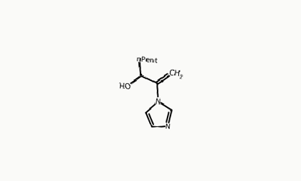 C=C(C(O)CCCCC)n1ccnc1